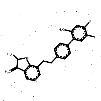 C=C1c2cccc(CCc3ccc(-c4cc(F)c(F)cc4C)cc3)c2NC1C